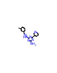 Cc1cccc(/C=N/Nc2nc(N)nc(-c3cccnc3)n2)c1